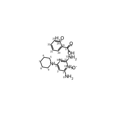 Nc1cc(N2CCCCC2)nc(N)[n+]1[O-].O.O=C(O)c1ccccc1